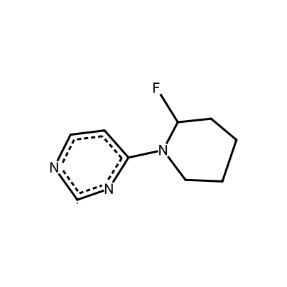 FC1CCCCN1c1ccn[c]n1